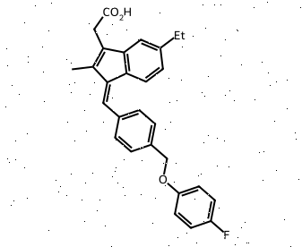 CCc1ccc2c(c1)C(CC(=O)O)=C(C)/C2=C/c1ccc(COc2ccc(F)cc2)cc1